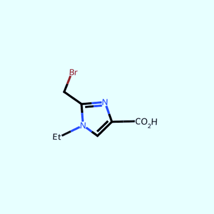 CCn1cc(C(=O)O)nc1CBr